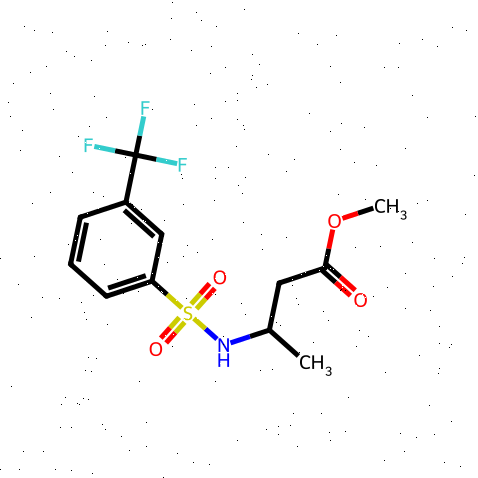 COC(=O)CC(C)NS(=O)(=O)c1cccc(C(F)(F)F)c1